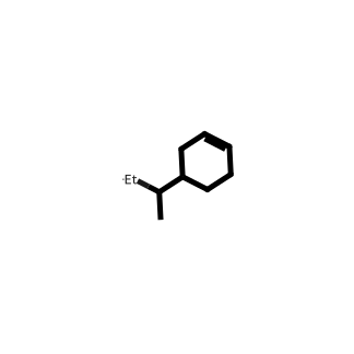 C[CH]C(C)C1CC=CCC1